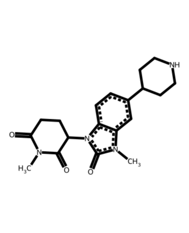 CN1C(=O)CCC(n2c(=O)n(C)c3cc(C4CCNCC4)ccc32)C1=O